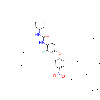 CCC(CC)NC(=O)Nc1ccc(Oc2ccc([N+](=O)[O-])cc2)cc1F